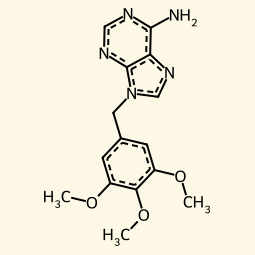 COc1cc(Cn2cnc3c(N)ncnc32)cc(OC)c1OC